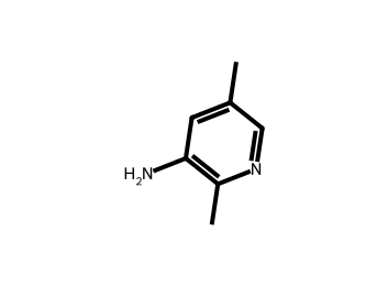 Cc1cnc(C)c(N)c1